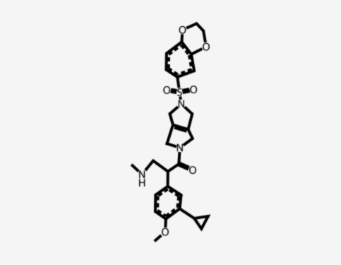 CNCC(C(=O)N1CC2=C(C1)CN(S(=O)(=O)c1ccc3c(c1)OCCO3)C2)c1ccc(OC)c(C2CC2)c1